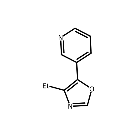 CCc1ncoc1-c1cccnc1